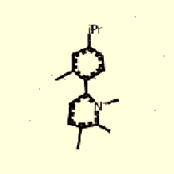 Cc1cc(C(C)C)ccc1-c1ccc(C)c(C)[n+]1C